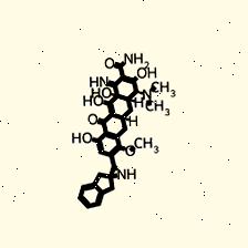 COc1c(C2NC23Cc2ccccc2C3)cc(O)c2c1C[C@H]1C[C@H]3[C@H](N(C)C)C(O)=C(C(N)=O)C(=N)[C@@]3(O)C(O)=C1C2=O